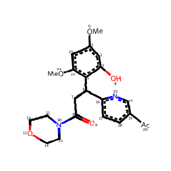 COc1cc(O)c(C(CC(=O)N2CCOCC2)c2ccc(C(C)=O)cn2)c(OC)c1